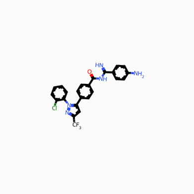 N=C(NC(=O)c1ccc(-c2cc(C(F)(F)F)nn2-c2ccccc2Cl)cc1)c1ccc(N)cc1